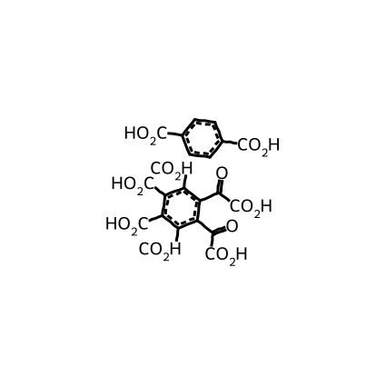 O=C(O)C(=O)c1c(C(=O)O)c(C(=O)O)c(C(=O)O)c(C(=O)O)c1C(=O)C(=O)O.O=C(O)c1ccc(C(=O)O)cc1